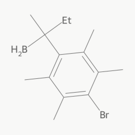 BC(C)(CC)c1c(C)c(C)c(Br)c(C)c1C